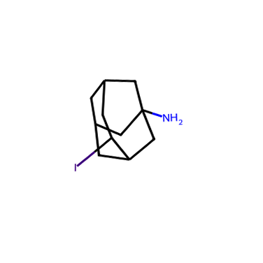 NC12CC3CC(CC(C1)C(I)C3)C2